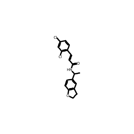 CC(NC(=O)C=Cc1ccc(Cl)cc1Cl)c1ccc2c(c1)CCO2